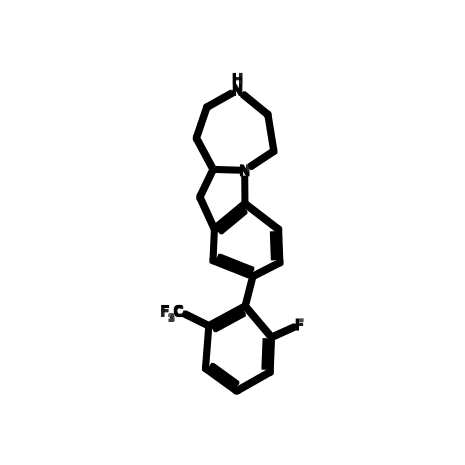 Fc1cccc(C(F)(F)F)c1-c1ccc2c(c1)CC1CCNCCN21